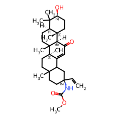 C=C[C@]1(NC(=O)OC)CCC2(C)CC[C@]3(C)C(=CC(=O)[C@H]4C3(C)CC[C@H]3C(C)(C)[C@@H](O)CC[C@@]34C)C2C1